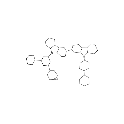 C1CCC(C2CCC(N3C4CCCCC4C4CCC(C5CCC6C(C5)C5CCCCC5N6C5CC(C6CCCCC6)CC(C6CCNCC6)C5)CC43)CC2)CC1